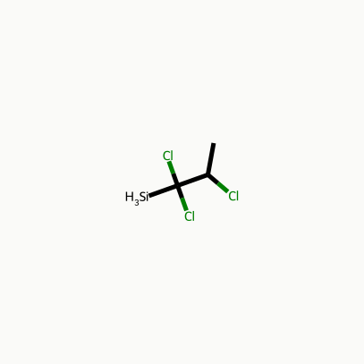 CC(Cl)C([SiH3])(Cl)Cl